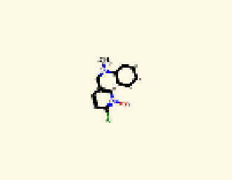 CN(Cc1ccc(Cl)[n+]([O-])c1)C1CCCCC1